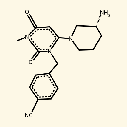 Cn1c(=O)cc(N2CCC[C@@H](N)C2)n(Cc2ccc(C#N)cc2)c1=O